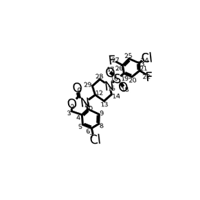 O=C1OCc2cc(Cl)ccc2N1C1CCN(S(=O)(=O)c2cc(F)c(Cl)cc2F)CC1